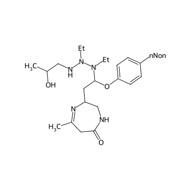 CCCCCCCCCc1ccc(OC(CC2CNC(=O)CC(C)=N2)N(CC)N(CC)NCC(C)O)cc1